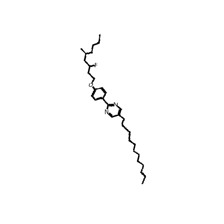 CCCCCCCCCCCCc1cnc(-c2ccc(OCCC(F)CC(C)CCCC)cc2)nc1